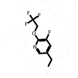 CCc1cnc(OCC(F)(F)F)c(F)c1